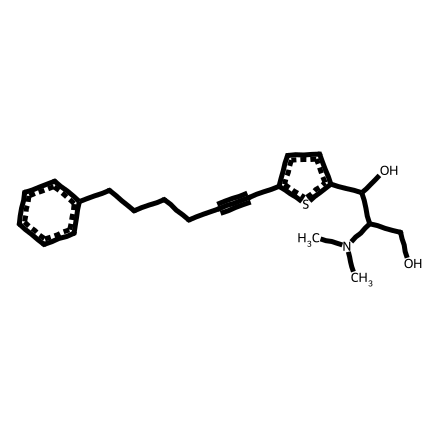 CN(C)C(CO)C(O)c1ccc(C#CCCCCc2ccccc2)s1